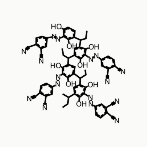 CCC(C)c1cc(C(CC)c2cc(C(CC)c3cc(C(CC)c4ccc(O)c(N=Nc5ccc(C#N)c(C#N)c5)c4O)c(O)c(N=Nc4ccc(C#N)c(C#N)c4)c3O)c(O)c(N=Nc3ccc(C#N)c(C#N)c3)c2O)c(O)c(N=Nc2ccc(C#N)c(C#N)c2)c1O